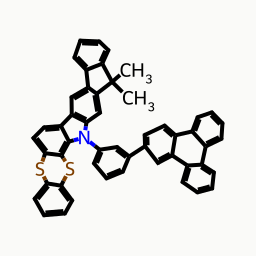 CC1(C)c2ccccc2-c2cc3c4ccc5c(c4n(-c4cccc(-c6ccc7c8ccccc8c8ccccc8c7c6)c4)c3cc21)Sc1ccccc1S5